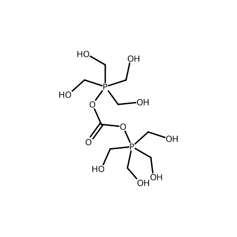 O=C(OP(CO)(CO)(CO)CO)OP(CO)(CO)(CO)CO